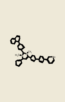 CN1C(c2ccc(-c3ccc(C4=CC=CNC4)cc3)cc2)=CC(C2=CCCC=C2)N(C)C1c1ccc(-c2cccc3ccccc23)cc1